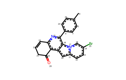 Cc1ccc(-c2nc3c(c4cc5ccc(Br)cn5c24)C(=O)CC=C3)cc1